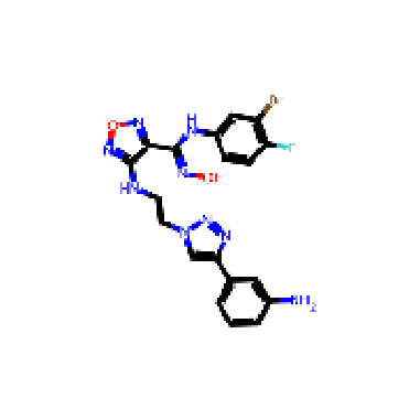 Nc1cccc(-c2cn(CCNc3nonc3C(=NO)Nc3ccc(F)c(Br)c3)nn2)c1